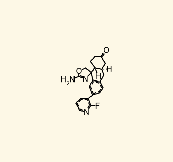 NC1=NC2(CO1)c1cc(-c3cccnc3F)ccc1C[C@@H]1CC(=O)CC[C@H]12